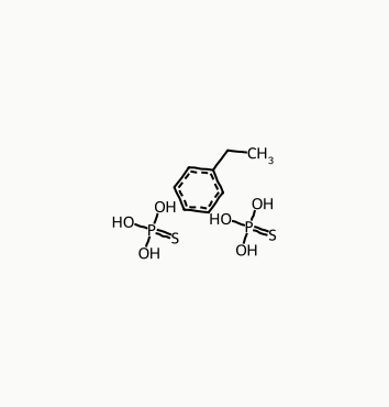 CCc1ccccc1.OP(O)(O)=S.OP(O)(O)=S